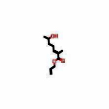 C=CCOC(=O)C(C)=CCCC(C)O